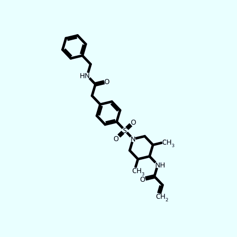 C=CC(=O)NC1C(C)CN(S(=O)(=O)c2ccc(CC(=O)NCc3ccccc3)cc2)CC1C